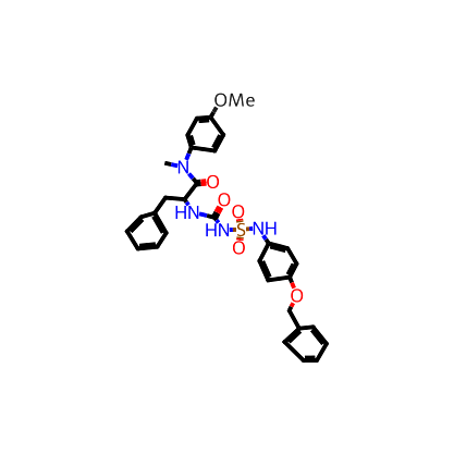 COc1ccc(N(C)C(=O)C(Cc2ccccc2)NC(=O)NS(=O)(=O)Nc2ccc(OCc3ccccc3)cc2)cc1